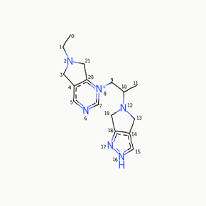 CCN1Cc2cnc[n+](CC(C)N3Cc4c[nH]nc4C3)c2C1